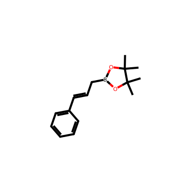 CC1(C)OB(CC=Cc2ccccc2)OC1(C)C